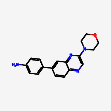 Nc1ccc(-c2ccc3ncc(N4CCOCC4)nc3c2)cc1